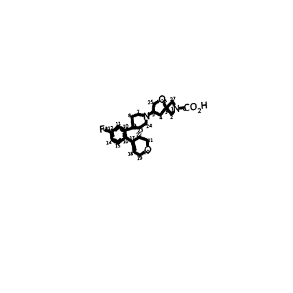 O=C(O)N1CC2(CC(N3CCC(c4cc(F)ccc4C4=CCOCC4)CC3)CO2)C1